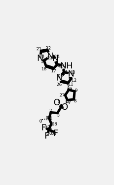 C[C@H](CCC(=O)O[C@H]1CC[C@@H](c2cnc(Nc3ccc4nccn4n3)nc2)C1)CC(F)(F)F